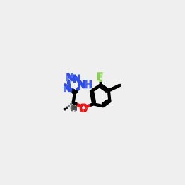 Cc1ccc(O[C@H](C)c2nnn[nH]2)cc1F